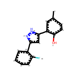 Cc1ccc(O)c(-c2cc(-c3ccccc3F)n[nH]2)c1